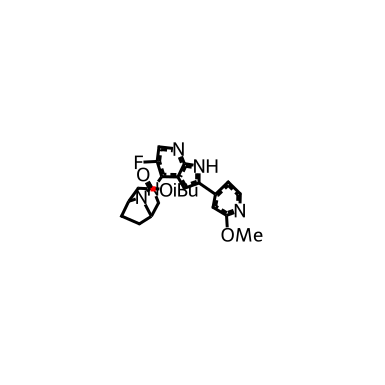 COc1cc(-c2cc3c(N4CC5CCC(C4)N5C(=O)OCC(C)C)c(F)cnc3[nH]2)ccn1